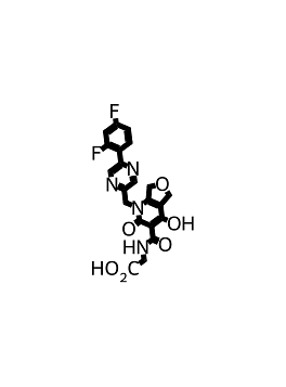 O=C(O)CNC(=O)c1c(O)c2c(n(Cc3cnc(-c4ccc(F)cc4F)cn3)c1=O)COC2